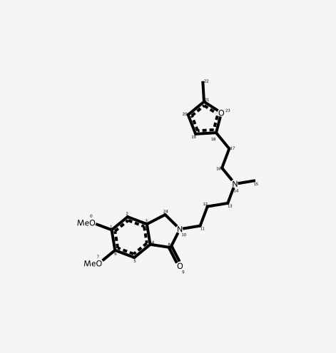 COc1cc2c(cc1OC)C(=O)N(CCCN(C)CCc1ccc(C)o1)C2